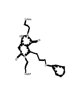 COCCn1[nH]c2cc(=O)n(CCOC)c(CCCOc3ccccc3)c2c1=O